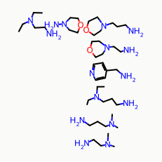 CCN(CC)CCCN.CCN(CC)CCN.CN(C)CCCN.CN(C)CCN.NCCCN1CCOCC1.NCCN1CCOCC1.NCc1ccncc1.NN1CCOCC1